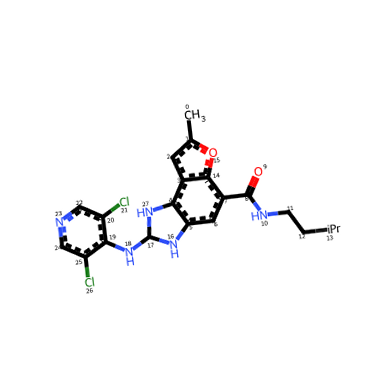 Cc1cc2c3c(cc(C(=O)NCCC(C)C)c2o1)NC(Nc1c(Cl)cncc1Cl)N3